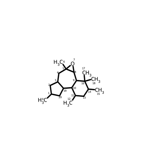 CC1CC2CC3(C)OC3C3C(C(C)CC(C)C3(C)C)C2C1